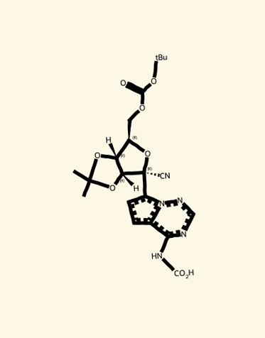 CC(C)(C)OC(=O)OC[C@H]1O[C@@](C#N)(c2ccc3c(NC(=O)O)ncnn23)[C@@H]2OC(C)(C)O[C@@H]21